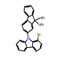 CCCC1(CCC)c2ccccc2-c2ccc(-n3c4ccccc4c4cccc(Br)c43)cc21